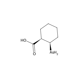 O=C(O)[C@H]1CCCC[C@H]1[AsH2]